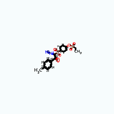 CCS(=O)(=O)Oc1ccc(S(=O)(=O)C(=[N+]=[N-])C(=O)c2ccc(C)cc2)cc1